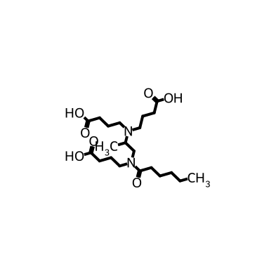 CCCCCC(=O)N(CCCC(=O)O)CC(C)N(CCCC(=O)O)CCCC(=O)O